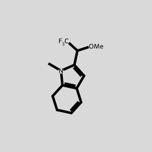 COC(c1cc2c(n1C)CCC=C2)C(F)(F)F